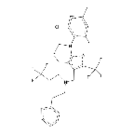 Cc1cc(C)c(N2CCCn3c2nc(C(F)(F)F)c3CN(CCc2ccccc2)CCC(F)(F)F)c(Cl)c1